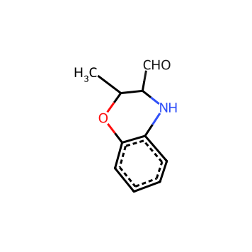 CC1Oc2ccccc2NC1C=O